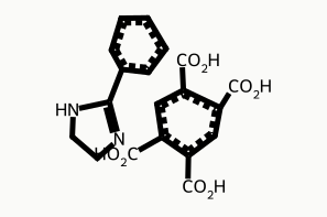 O=C(O)c1cc(C(=O)O)c(C(=O)O)cc1C(=O)O.c1ccc(C2=NCCN2)cc1